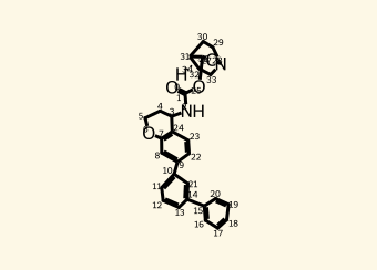 O=C(NC1CCOc2cc(-c3cccc(-c4ccccc4)c3)ccc21)O[C@@H]1CN2CCC1CC2